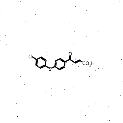 O=C(O)/C=C/C(=O)c1ccc(Sc2ccc(Cl)cc2)cc1